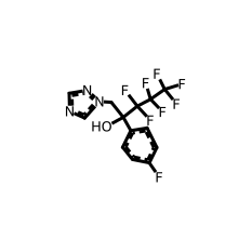 OC(Cn1cncn1)(c1ccc(F)cc1)C(F)(F)C(F)(F)C(F)(F)F